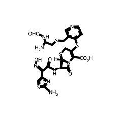 Nc1nc(/C(=N/O)C(=O)N[C@@H]2C(=O)N3C(C(=O)O)=C(Sc4ccncc4CSCC(N)NC=O)CS[C@@H]23)cs1